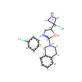 Fc1ccc([C@H]2c3ccccc3CCN2C2=NCC(C3(F)CNC3)O2)cc1